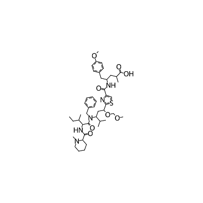 CCC(C)C(NC(=O)C1CCCCN1C)C(=O)N(Cc1ccccc1)C(CC(OCOC)c1nc(C(=O)NC(Cc2ccc(OC)cc2)CC(C)C(=O)O)cs1)C(C)C